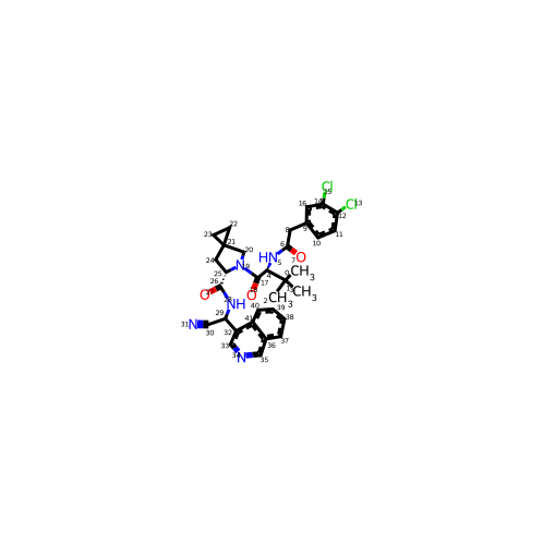 CC(C)(C)[C@H](NC(=O)Cc1ccc(Cl)c(Cl)c1)C(=O)N1CC2(CC2)C[C@H]1C(=O)NC(C#N)c1cncc2ccccc12